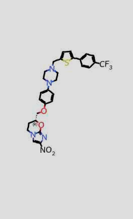 O=[N+]([O-])c1cn2c(n1)O[C@@H](COc1ccc(N3CCN(Cc4ccc(-c5ccc(C(F)(F)F)cc5)s4)CC3)cc1)CC2